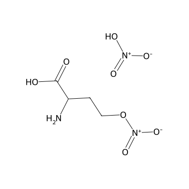 NC(CCO[N+](=O)[O-])C(=O)O.O=[N+]([O-])O